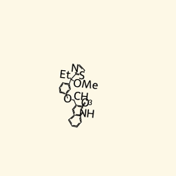 CCC(OC)(c1cccc(OC(C)c2cc3ccccc3[nH]c2=O)c1)c1nccs1